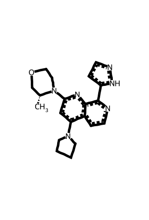 C[C@@H]1COCCN1c1cc(N2CCCC2)c2ccnc(-c3ccn[nH]3)c2n1